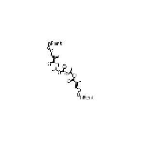 CCCCCOO/C=C(\C)C(=O)OC(C)OC(=O)OC(C)OC(=O)/C(C)=C/OOCCCCC